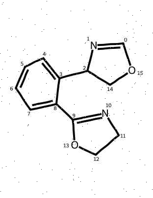 C1=NC(c2ccccc2C2=NCCO2)CO1